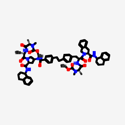 C[C@@H](C(=O)N[C@@H](Cc1ccc(CCc2ccc(C(=O)N[C@H]3C[C@@H](C(=O)N[C@@H]4CCCc5ccccc54)N(C(=O)[C@@H](NC(=O)[C@H](C)N(C)C(=O)OC(C)(C)C)C(C)(C)C)C3)cc2)cc1)C(=O)N1Cc2ccccc2C[C@H]1C(=O)N[C@@H]1CCCc2ccccc21)N(C)C(=O)OC(C)(C)C